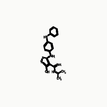 CC(C)NC(=N)c1c(O)nsc1Nc1ccc(Nc2ccccc2)cc1